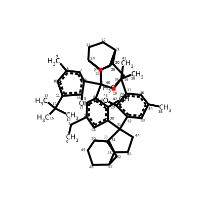 CCc1cc(C2(c3cc(C)cc(C(C)(C)C)c3O)CCC3C4CCC(CC4)C32)c(O)c(C2(c3cc(C)cc(C(C)(C)C)c3O)CCC3C4CCC(CC4)C32)c1